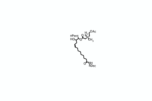 CCCCCCCCCCNC(=O)CCCCCCC/C=C\CC(O)C(CCCCC)OC(=O)C[N+](C)(C)CCOC(C)=O